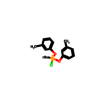 CCCC[PH](Cl)(Oc1cccc(C)c1)Oc1cccc(C)c1